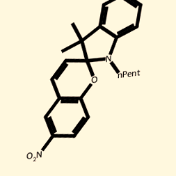 CCCCCN1c2ccccc2C(C)(C)C12C=Cc1cc([N+](=O)[O-])ccc1O2